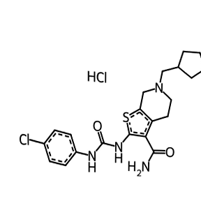 Cl.NC(=O)c1c(NC(=O)Nc2ccc(Cl)cc2)sc2c1CCN(CC1CCCC1)C2